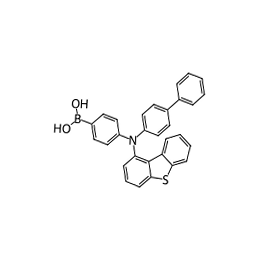 OB(O)c1ccc(N(c2ccc(-c3ccccc3)cc2)c2cccc3sc4ccccc4c23)cc1